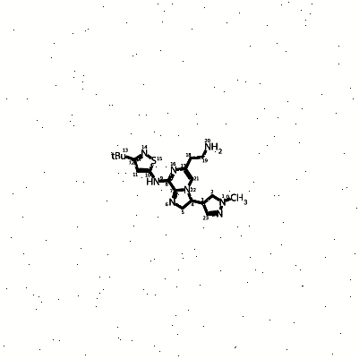 CN1CC(C2CN=C3C(Nc4cc(C(C)(C)C)ns4)=NC(CCN)=CN32)C=N1